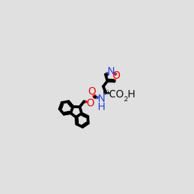 O=C(N[C@@H](Cc1cnoc1)C(=O)O)OCC1c2ccccc2-c2ccccc21